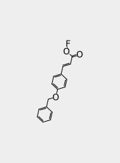 O=C(/C=C/c1ccc(OCc2ccccc2)cc1)OF